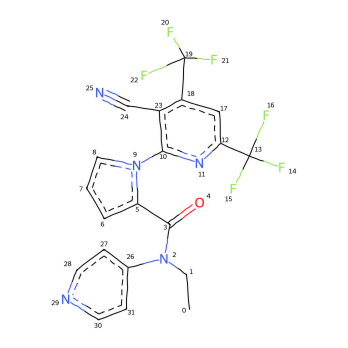 CCN(C(=O)c1cccn1-c1nc(C(F)(F)F)cc(C(F)(F)F)c1C#N)c1ccncc1